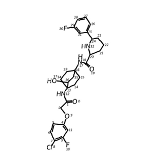 O=C(COc1ccc(Cl)c(F)c1)NC12CCC(NC(=O)C3CCCC(c4cccc(F)c4)N3)(CC1)CC2O